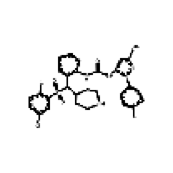 Cc1ccc(-n2nc(C(C)(C)C)cc2NC(=O)Nc2ccccc2C(C2CCNCC2)S(=O)(=O)c2cc(Cl)ccc2Cl)cc1